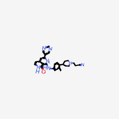 Cc1cc(Nc2nc(-c3cncnc3)cc3cc[nH]c(=O)c23)ccc1C1CCN(CCC#N)CC1